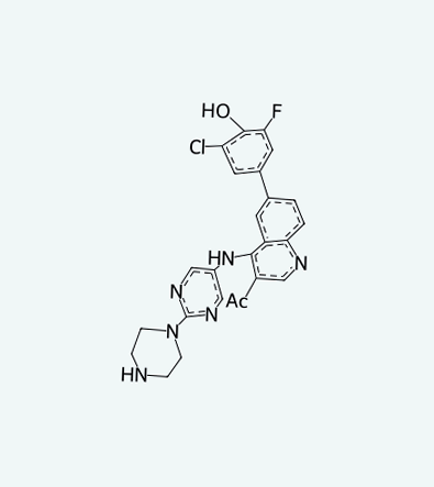 CC(=O)c1cnc2ccc(-c3cc(F)c(O)c(Cl)c3)cc2c1Nc1cnc(N2CCNCC2)nc1